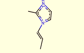 CC=C[n+]1cc[nH]c1C